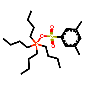 CCCCP(CCCC)(CCCC)(CCCC)OS(=O)(=O)c1cc(C)cc(C)c1